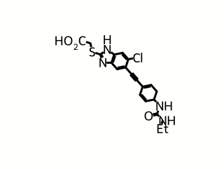 CCNC(=O)NC1C=CC(C#Cc2cc3nc(SCC(=O)O)[nH]c3cc2Cl)=CC1